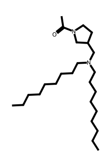 CCCCCCCCCN(CCCCCCCCC)CC1CCN(C(C)=O)C1